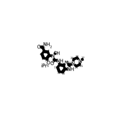 CC(C)Oc1ccc(C(N)=O)cc1N(S)C(=O)Nc1cccc2[nH]c(N3CCN(C)CC3)nc12